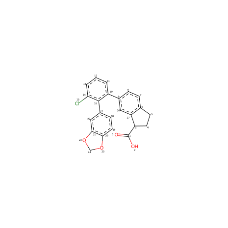 O=C(O)C1CCc2ccc(-c3cccc(Cl)c3-c3ccc4c(c3)OCO4)cc21